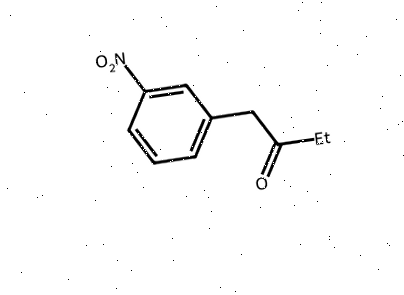 CCC(=O)Cc1cccc([N+](=O)[O-])c1